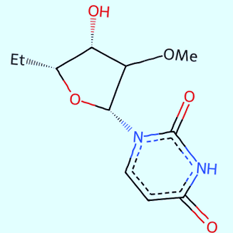 CC[C@H]1O[C@@H](n2ccc(=O)[nH]c2=O)C(OC)[C@H]1O